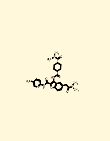 Cc1ccc(NC(=O)c2oc3ccc(CC(=O)N(C)C)cc3c2NC(=O)[C@H]2CC[C@H](C(=O)N(C)C)CC2)nc1